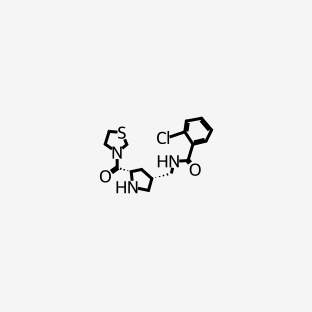 O=C(NC[C@@H]1CN[C@H](C(=O)N2CCSC2)C1)c1ccccc1Cl